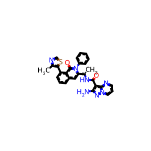 Cc1ncsc1-c1cccc2cc([C@H](C)NC(=O)c3c(N)nn4cccnc34)n(-c3ccccc3)c(=O)c12